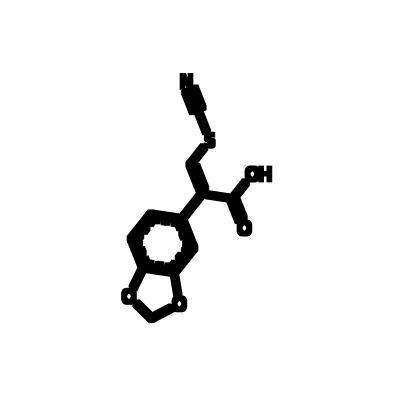 N#CS/C=C(\C(=O)O)c1ccc2c(c1)OCO2